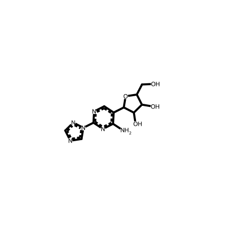 Nc1nc(-n2cncn2)ncc1C1OC(CO)C(O)C1O